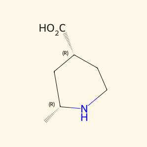 C[C@@H]1C[C@H](C(=O)O)CCN1